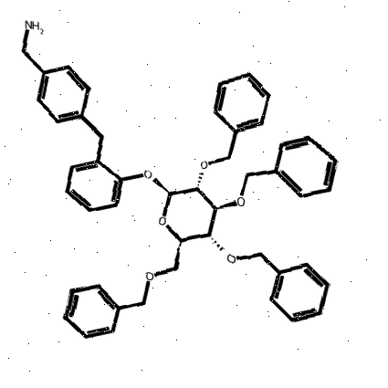 NCc1ccc(Cc2ccccc2O[C@@H]2O[C@H](COCc3ccccc3)[C@@H](OCc3ccccc3)[C@H](OCc3ccccc3)[C@H]2OCc2ccccc2)cc1